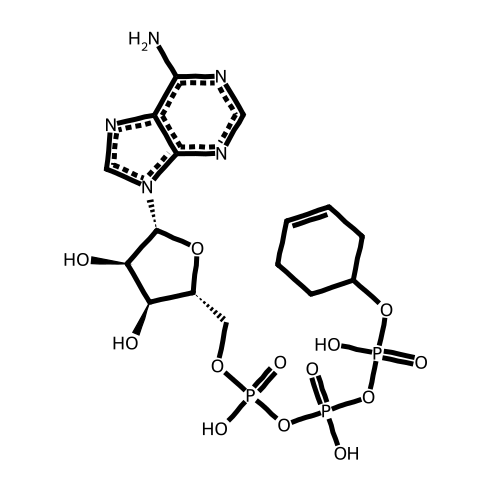 Nc1ncnc2c1ncn2[C@@H]1O[C@H](COP(=O)(O)OP(=O)(O)OP(=O)(O)OC2CC=CCC2)[C@@H](O)[C@H]1O